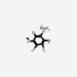 COc1c(F)c(F)c(Br)c(F)c1F.[MgH2]